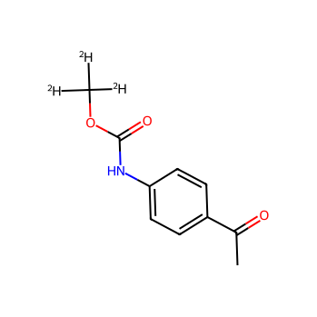 [2H]C([2H])([2H])OC(=O)Nc1ccc(C(C)=O)cc1